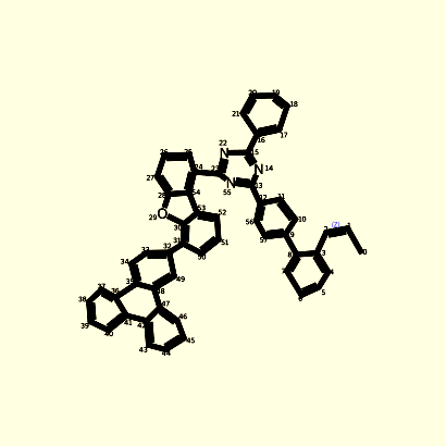 C/C=C\c1ccccc1-c1ccc(-c2nc(-c3ccccc3)nc(-c3cccc4oc5c(-c6ccc7c8ccccc8c8ccccc8c7c6)cccc5c34)n2)cc1